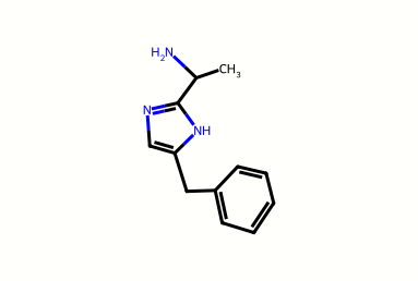 CC(N)c1ncc(Cc2ccccc2)[nH]1